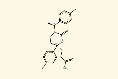 Cc1ccc([C@H](C)N2CC[C@](CCC(N)=O)(c3ccc(F)cc3)OC2=O)cc1